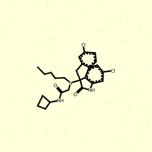 CCCCCN(CC(=O)NC1CCC1)C1(Cc2cccc(Cl)c2)C(=O)Nc2cc(Cl)ccc21